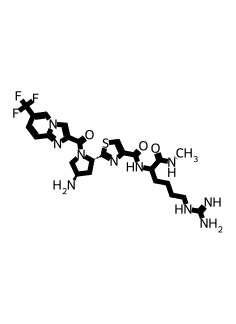 CNC(=O)C(CCCCNC(=N)N)NC(=O)c1csc([C@@H]2C[C@@H](N)CN2C(=O)c2cn3cc(C(F)(F)F)ccc3n2)n1